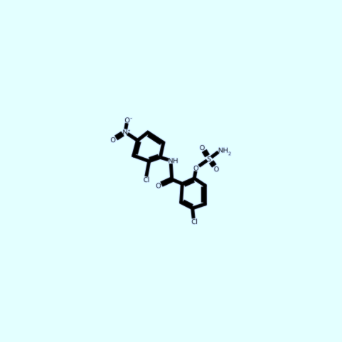 NS(=O)(=O)Oc1ccc(Cl)cc1C(=O)Nc1ccc([N+](=O)[O-])cc1Cl